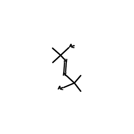 CC(=O)C(C)(C)N=NC(C)(C)C(C)=O